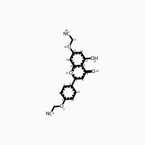 N#CCOc1ccc(-c2cc(=O)c3c(O)cc(OCC#N)cc3o2)cc1